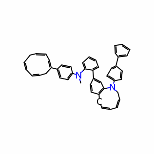 CN(c1ccc(/C2=C/C=C\C/C=C\C=C/C2)cc1)c1ccccc1-c1ccc2c(c1)N(c1ccc(-c3ccccc3)cc1)C/C=C\C=C/C2